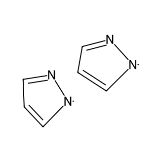 C1=C[N]N=C1.C1=C[N]N=C1